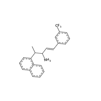 CC(c1cccc2ccccc12)C(N)C=Cc1cccc(C(F)(F)F)c1